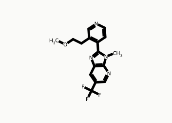 COCCc1cnccc1-c1nc2cc(C(F)(F)F)cnc2n1C